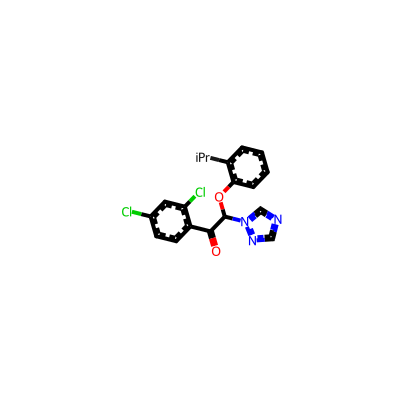 CC(C)c1ccccc1OC(C(=O)c1ccc(Cl)cc1Cl)n1cncn1